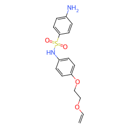 C=COCCOc1ccc(NS(=O)(=O)c2ccc(N)cc2)cc1